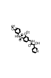 CCOc1cc(NC(=O)C(O)c2cccnc2)ccc1S(=O)(=O)Nc1cccc(OC(F)(F)F)c1